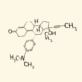 CC#C[C@@]1(O)CC[C@H]2[C@@H]3CCC4=CC(=O)CCC4=C3[C@@H](c3ccc(N(C)C)cc3)C[C@@]21C